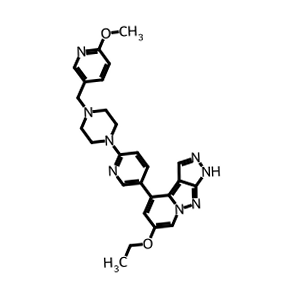 CCOc1cc(-c2ccc(N3CCN(Cc4ccc(OC)nc4)CC3)nc2)c2c3cn[nH]c3nn2c1